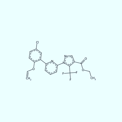 C=COc1ccc(Cl)cc1-c1cccc(-n2ncc(C(=O)OCC)c2C(F)(F)F)n1